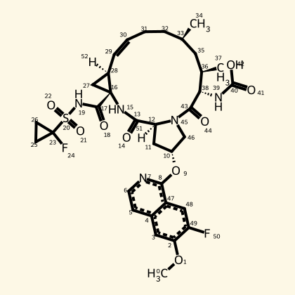 COc1cc2ccnc(O[C@@H]3C[C@H]4C(=O)N[C@]5(C(=O)NS(=O)(=O)C6(F)CC6)C[C@H]5/C=C\CC[C@@H](C)C[C@@H](C)[C@H](NC(=O)O)C(=O)N4C3)c2cc1F